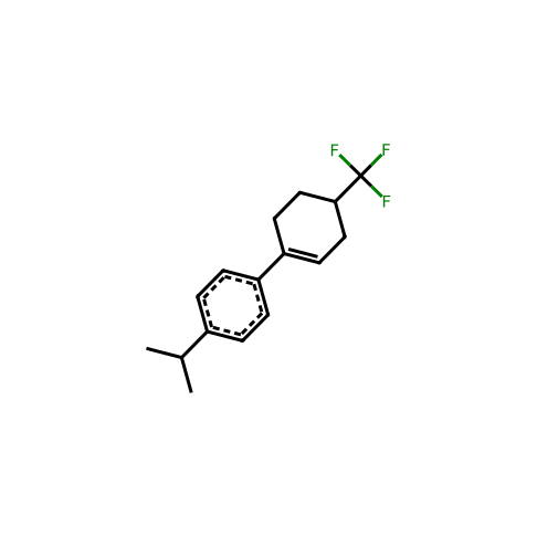 CC(C)c1ccc(C2=CCC(C(F)(F)F)CC2)cc1